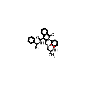 CC[C@H](NC(=O)c1c(CN2CCN[C@@H](C)C2)n(-c2ccccc2)c(=O)c2ccccc12)c1ccccc1